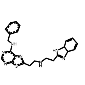 C1=CC2N=C(CCNCCc3nc4c(NCc5ccccc5)ncnc4s3)NC2C=C1